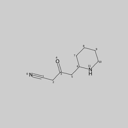 N#CCC(=O)CC1CCCCN1